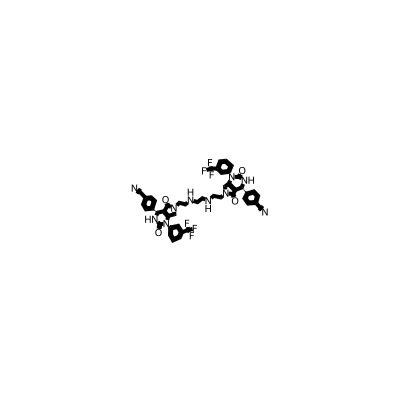 N#Cc1ccc([C@H]2NC(=O)N(c3cccc(C(F)(F)F)c3)C3=C2C(=O)N(CCNCCNCCN2CC4=C(C2=O)[C@@H](c2ccc(C#N)cc2)NC(=O)N4c2cccc(C(F)(F)F)c2)C3)cc1